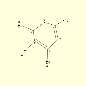 CC1=CC(Br)=C(F)C(Br)C1